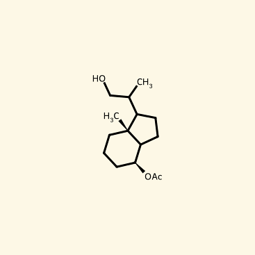 CC(=O)O[C@H]1CCC[C@]2(C)C(C(C)CO)CCC12